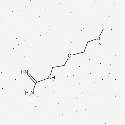 COCCOCCNC(=N)N